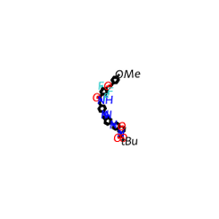 COc1ccc(COc2c(F)cc(C(=O)NCC3CCC(n4cc5ccc(N6CCC7(CC6)CN(C(=O)OC(C)(C)C)CCO7)cc5n4)CC3)c(F)c2F)cc1